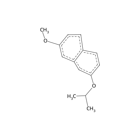 COc1ccc2ccc(OC(C)C)cc2c1